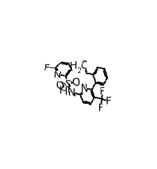 C=Cc1ccccc1-c1nc(NS(=O)(=O)c2cccc(F)n2)ccc1C(F)(F)F